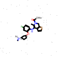 COC(=O)N1Cc2sccc2C(Nc2ccc(F)cc2O[C@H]2CC[C@H](N(C)C(C)=O)C2)=C1C